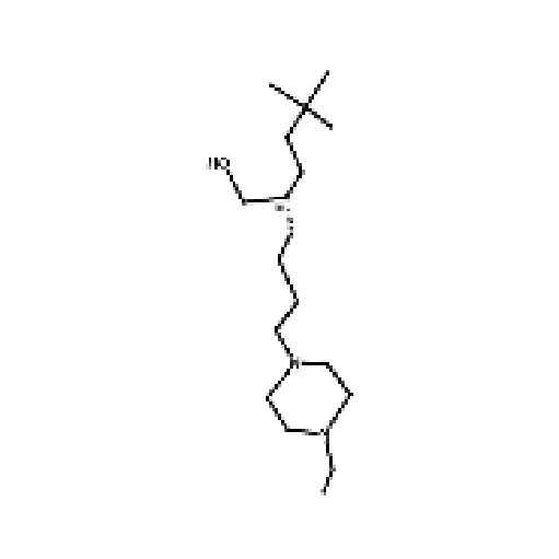 CCN1CCN(CCCC[C@H](CO)CCC(C)(C)C)CC1